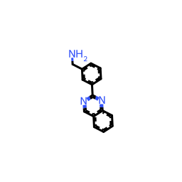 NCc1cccc(-c2ncc3ccccc3n2)c1